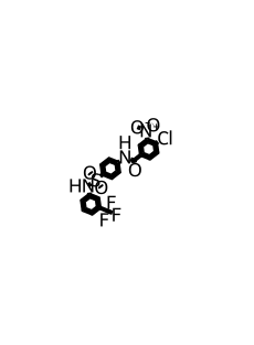 O=C(Nc1ccc(S(=O)(=O)Nc2cccc(C(F)(F)F)c2)cc1)c1ccc(Cl)c([N+](=O)[O-])c1